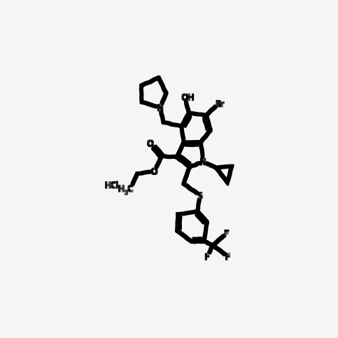 CCOC(=O)c1c(CSc2cccc(C(F)(F)F)c2)n(C2CC2)c2cc(Br)c(O)c(CN3CCCC3)c12.Cl